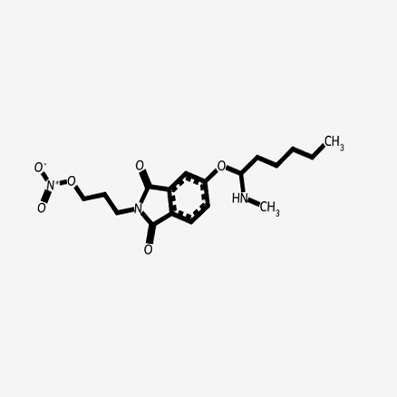 CCCCCC(NC)Oc1ccc2c(c1)C(=O)N(CCCO[N+](=O)[O-])C2=O